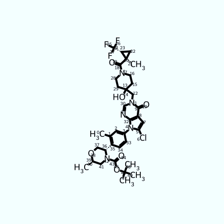 Cc1cc(-n2c(Cl)cc3c(=O)n(CC4(O)CCN(C(=O)[C@]5(C)C[C@H]5C(F)(F)F)CC4)cnc32)ccc1[C@H]1CO[C@H](C)CN1C(=O)OC(C)(C)C